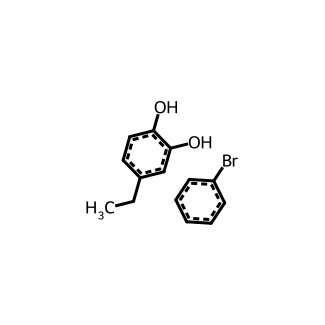 Brc1ccccc1.CCc1ccc(O)c(O)c1